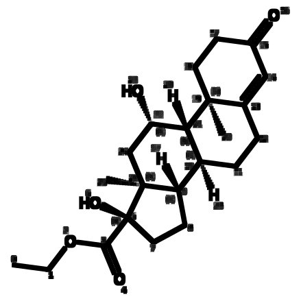 CCOC(=O)[C@@]1(O)CC[C@H]2[C@@H]3CCC4=CC(=O)CC[C@]4(C)[C@H]3[C@@H](O)C[C@@]21C